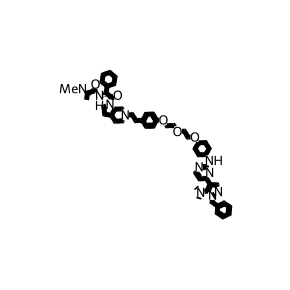 CN[C@@H](C)C(=O)N[C@H](C(=O)N1CCC2CCN(CCc3ccc(OCCOCCOC4CCC(Nc5nccc(-c6cnn(Cc7ccccc7)c6N(C)C)n5)CC4)cc3)CC21)C1CCCCC1